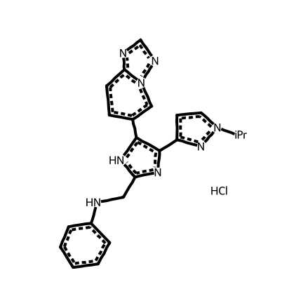 CC(C)n1ccc(-c2nc(CNc3ccccc3)[nH]c2-c2ccc3ncnn3c2)n1.Cl